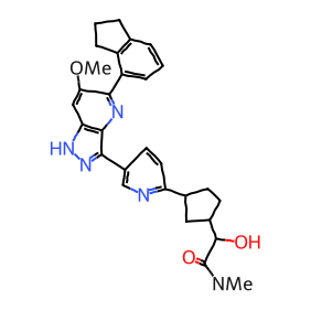 CNC(=O)C(O)C1CCC(c2ccc(-c3n[nH]c4cc(OC)c(-c5cccc6c5CCC6)nc34)cn2)C1